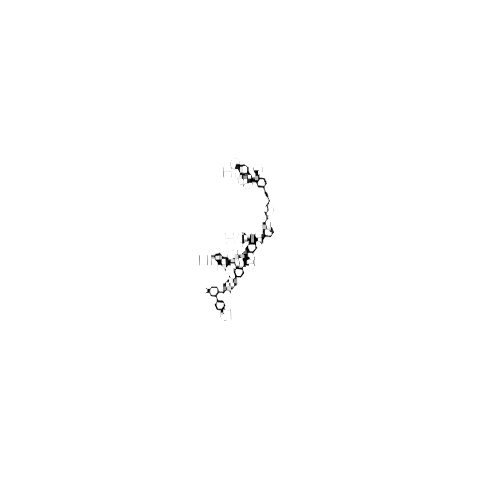 CC1(C)CCC(CN2CCN(c3ccc(C(=O)NS(=O)(=O)c4ccc(NCC5CCCN(CCCOCCC#Cc6ccc7c(c6)C(=O)N(C6CCC(=O)NC6=O)C7=O)C5)c(NO)c4)c(Oc4cnc5[nH]ccc5c4)c3)CC2)=C(c2ccc(Cl)cc2)C1